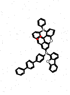 c1ccc(-c2ccc(-c3ccc(N(c4cc5c6c(cccc6c4)-c4c(cccc4N(c4ccccc4)c4ccccc4)O5)c4cccc5c4oc4ccccc45)cc3)cc2)cc1